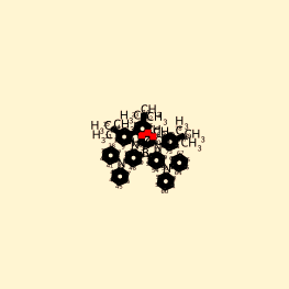 Cc1cc2c3c(c1)N(c1ccc(C(C)(C)C)cc1-c1cc(C(C)(C)C)cc(C(C)(C)C)c1)c1cc(N(c4ccccc4)c4ccccc4)ccc1B3c1ccc(N(c3ccccc3)c3ccccc3)cc1N2c1ccc(C(C)(C)C)cc1